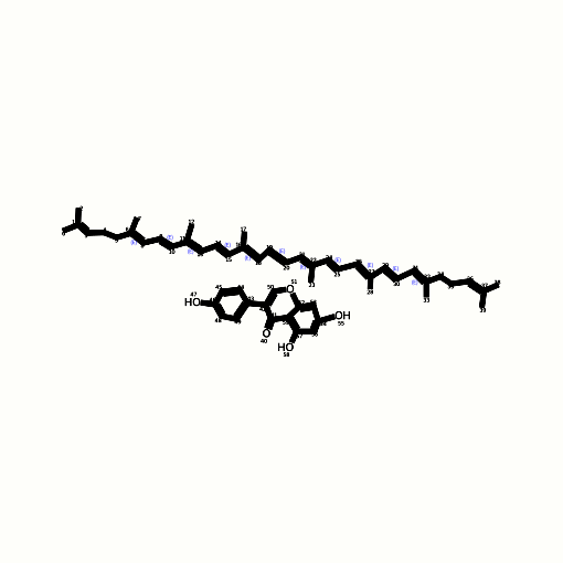 CC(C)=CCC/C(C)=C/C=C/C(C)=C/C=C/C(C)=C/C=C/C=C(C)/C=C/C=C(C)/C=C/C=C(\C)CCC=C(C)C.O=c1c(-c2ccc(O)cc2)coc2cc(O)cc(O)c12